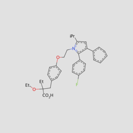 CCOC(CC)(Cc1ccc(OCCn2c(C(C)C)cc(-c3ccccc3)c2-c2ccc(F)cc2)cc1)C(=O)O